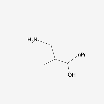 CCCC(O)C(C)CN